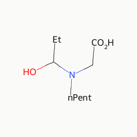 CCCCCN(CC(=O)O)C(O)CC